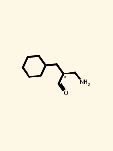 NC[C@@H](C=O)CC1CCCCC1